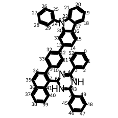 c1ccc(C2=NC(c3c(-c4ccc(-c5ccc6c7ccccc7n(-c7ccccc7)c6c5)cc4)ccc4ccccc34)NC(c3ccccc3)N2)cc1